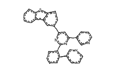 c1cncc(-c2cc(-c3ccc4sc5ccccc5c4c3)nc(-c3ccccc3-c3cccnc3)n2)c1